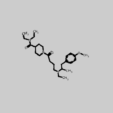 CCN(CC)C(=O)C1CCN(C(=O)CCCN(CC)C(C)Cc2ccc(OC)cc2)CC1